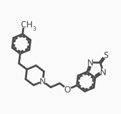 Cc1ccc(CC2CCN(CCOc3ccc4c(c3)=NC(=S)N=4)CC2)cc1